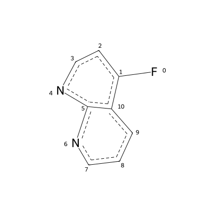 Fc1ccnc2ncccc12